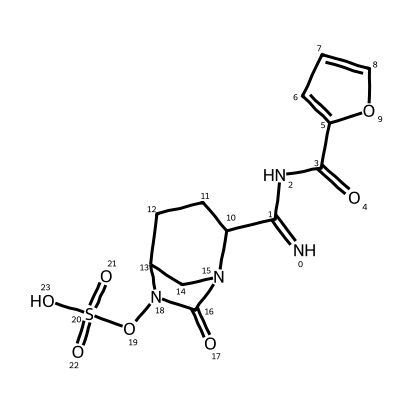 N=C(NC(=O)c1ccco1)C1CCC2CN1C(=O)N2OS(=O)(=O)O